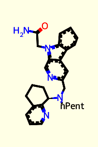 CCCCCN(Cc1cc2c3ccccc3n(CC(N)=O)c2cn1)[C@@H]1CCCc2cccnc21